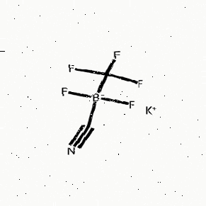 N#C[B-](F)(F)C(F)(F)F.[K+]